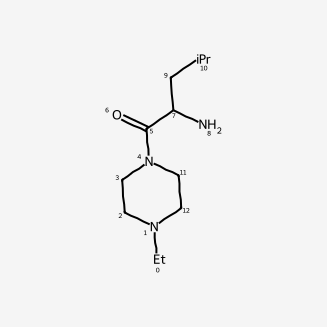 CCN1CCN(C(=O)C(N)CC(C)C)CC1